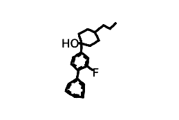 CCCC1CCC(O)(c2ccc(-c3ccccc3)c(F)c2)CC1